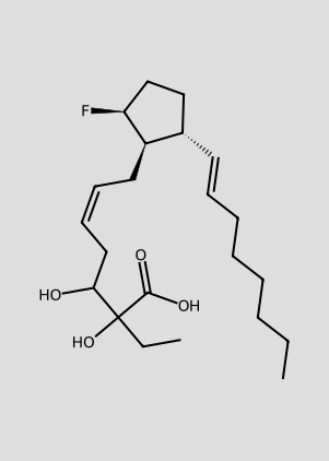 CCCCCC/C=C/[C@H]1CC[C@H](F)[C@@H]1C/C=C\CC(O)C(O)(CC)C(=O)O